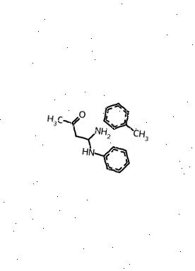 CC(=O)CC(N)Nc1ccccc1.Cc1ccccc1